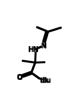 CC(C)=NNC(C)(C)C(=O)C(C)(C)C